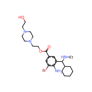 CCNC(c1cc(C(=O)OCCN2CCN(CCO)CC2)cc(Br)c1N)C1CCCCC1